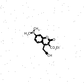 C#CCc1c(C(=O)OCC)c(=O)oc2cc(N(C)C)ccc12